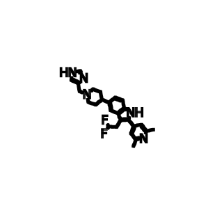 Cc1cc(-c2[nH]c3ccc(C4CCN(Cc5c[nH]cn5)CC4)cc3c2CC(F)F)cc(C)n1